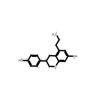 CCCc1cc(O)cc2c1CC(c1ccc(O)cc1)CO2